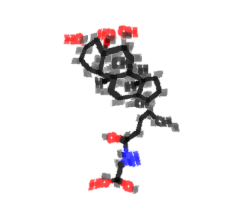 CC(CCC(=O)NCC(=O)O)[C@H]1CC[C@H]2[C@@H]3C[C@@H](O)[C@@]4(O)C[C@@H](O)CC[C@]4(C)[C@H]3CC[C@]12C